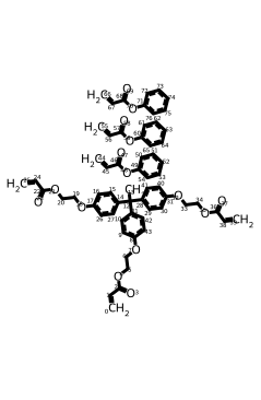 C=CC(=O)OCCOc1ccc(C(C)(c2ccc(OCCOC(=O)C=C)cc2)c2ccc(OCCOC(=O)C=C)cc2)cc1.C=CC(=O)Oc1ccccc1.C=CC(=O)Oc1ccccc1.C=CC(=O)Oc1ccccc1